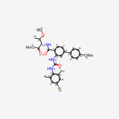 COC(=O)[C@@H](NC(=O)c1ccc(-c2ccc(OC)cc2)cc1NC(=O)Nc1c(C)cc(Br)cc1C)C(C)OC(C)(C)C